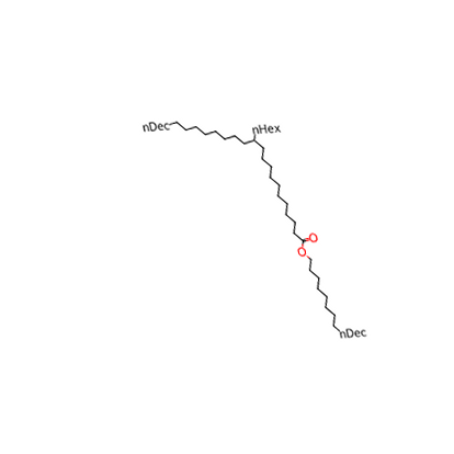 CCCCCCCCCCCCCCCCCCOC(=O)CCCCCCCCCCC(CCCCCC)CCCCCCCCCCCCCCCCCC